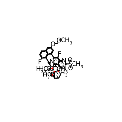 COCOc1cc(-c2nc(OC)c3c(N4CC=CCC4)nc(S(C)(=O)=O)nc3c2F)c2c(C#C[Si](C(C)C)(C(C)C)C(C)C)c(F)ccc2c1